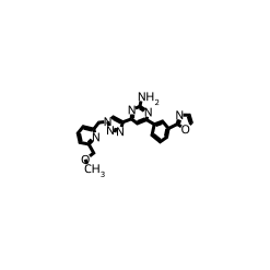 COCc1cccc(Cn2cc(-c3cc(-c4cccc(-c5ncco5)c4)nc(N)n3)nn2)n1